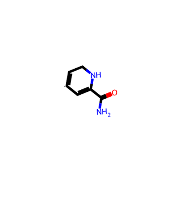 NC(=O)C1=C[C]=CCN1